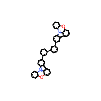 c1cc(-c2cccc(-c3ccc4c(c3)c3cccc5c3n4-c3ccccc3O5)c2)cc(-c2ccc3c(c2)c2cccc4c2n3-c2ccccc2O4)c1